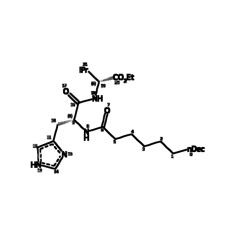 CCCCCCCCCCCCCCCC(=O)N[C@H](Cc1c[nH]cn1)C(=O)N[C@@H](C(=O)OCC)C(C)C